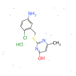 Cc1cc(O)nc(SCc2cc(N)ccc2Cl)n1.Cl